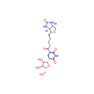 O=C1N[C@H]2[C@H](CS[C@H]2CCCCC(=O)n2cc([C@@H]3O[C@H](CO)[C@@H](O)[C@H]3O)c(=O)[nH]c2=O)N1